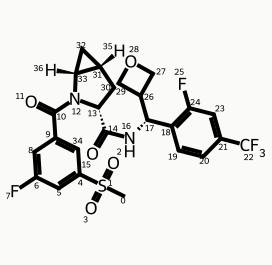 CS(=O)(=O)c1cc(F)cc(C(=O)N2[C@@H](C(=O)N[C@@H](c3ccc(C(F)(F)F)cc3F)C3COC3)C[C@H]3C[C@H]32)c1